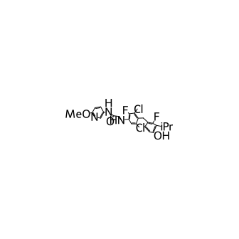 COc1ccc(NC(=O)CNc2cc(Cl)c(Cc3ccc(O)c(C(C)C)c3F)c(Cl)c2F)cn1